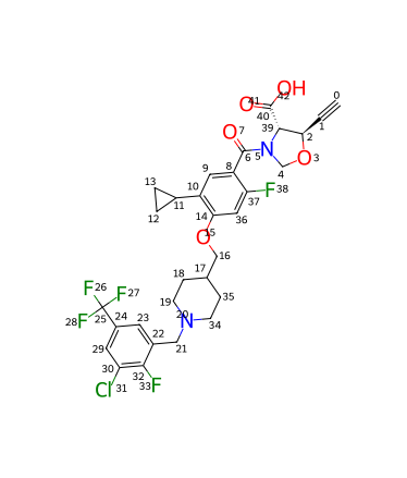 C#C[C@H]1OCN(C(=O)c2cc(C3CC3)c(OCC3CCN(Cc4cc(C(F)(F)F)cc(Cl)c4F)CC3)cc2F)[C@@H]1C(=O)O